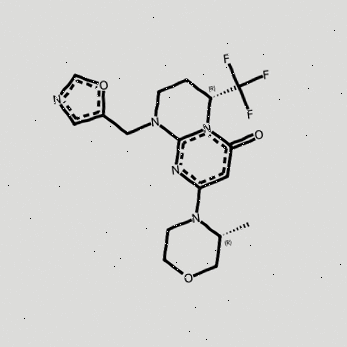 C[C@@H]1COCCN1c1cc(=O)n2c(n1)N(Cc1cnco1)CC[C@@H]2C(F)(F)F